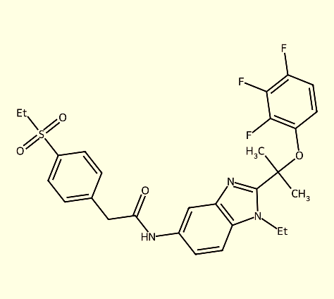 CCn1c(C(C)(C)Oc2ccc(F)c(F)c2F)nc2cc(NC(=O)Cc3ccc(S(=O)(=O)CC)cc3)ccc21